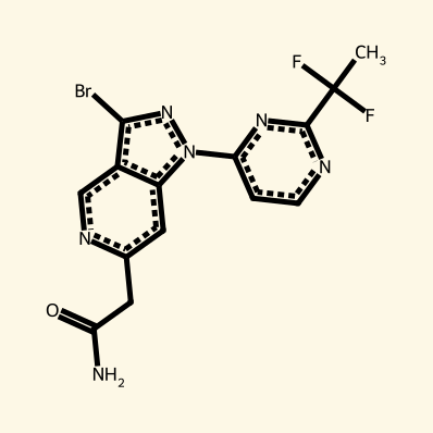 CC(F)(F)c1nccc(-n2nc(Br)c3cnc(CC(N)=O)cc32)n1